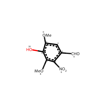 COc1cc(C=O)c([N+](=O)[O-])c(OC)c1O